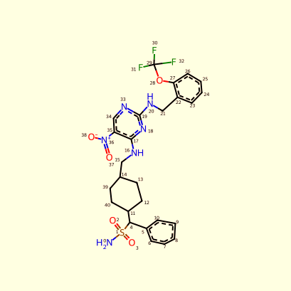 NS(=O)(=O)C(c1ccccc1)C1CCC(CNc2nc(NCc3ccccc3OC(F)(F)F)ncc2[N+](=O)[O-])CC1